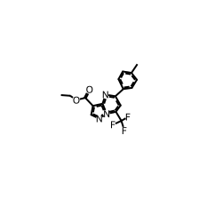 CCOC(=O)c1cnn2c(C(F)(F)F)cc(-c3ccc(C)cc3)nc12